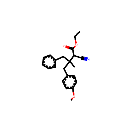 CCOC(=O)C(C#N)C(C)(Cc1ccccc1)Cc1ccc(OC)cc1